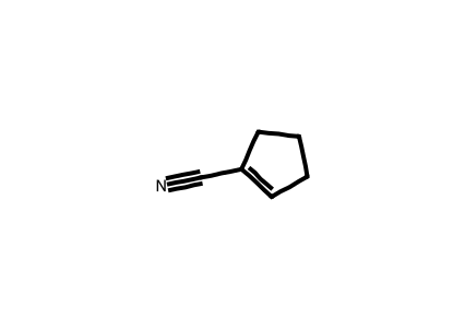 N#CC1=CCCC1